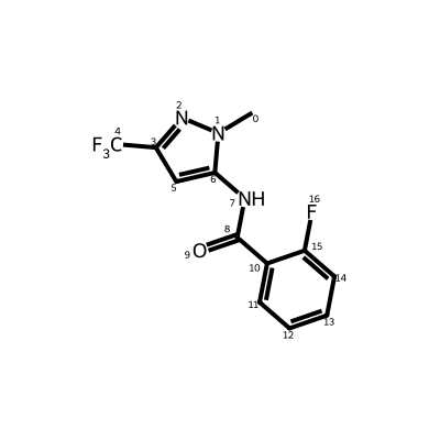 Cn1nc(C(F)(F)F)cc1NC(=O)c1ccccc1F